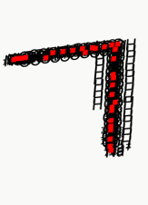 O=C(O)OO.O=C(O)OO.O=C(O)OO.O=C(O)OO.O=C(O)OO.O=C(O)OO.O=C(O)OO.O=C(O)OO.O=C(O)OO.O=C(O)OO.O=C(O)OO.O=C(O)OO.O=C(O)OO.O=C(O)OO.O=C(O)OO.O=C([O-])OO.O=C([O-])OO.O=C([O-])OO.O=C([O-])OO.O=C([O-])OO.O=C([O-])OO.O=C([O-])OO.O=C([O-])OO.O=C([O-])OO.O=C([O-])OO.[Na+].[Na+].[Na+].[Na+].[Na+].[Na+].[Na+].[Na+].[Na+].[Na+]